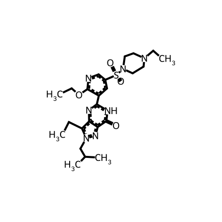 CCOc1ncc(S(=O)(=O)N2CCN(CC)CC2)cc1-c1nc2c(CC)n(CC(C)C)nc2c(=O)[nH]1